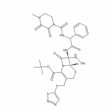 CN1CCN(C(=O)NC(C(=O)N[C@]2(NO)C(=O)N3C(C(=O)OC(C)(C)C)=C(CSc4cnns4)CS[C@H]32)c2ccccc2)C(=O)C1=O